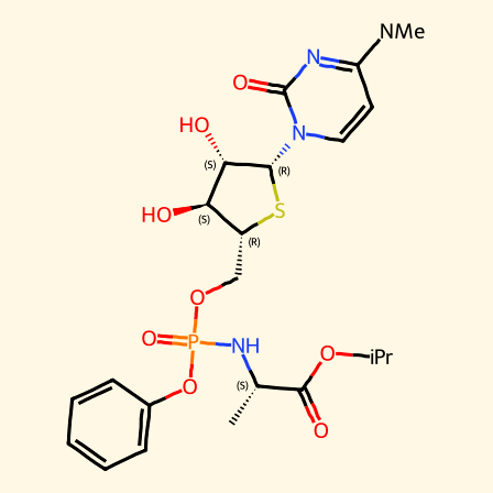 CNc1ccn([C@@H]2S[C@H](COP(=O)(N[C@@H](C)C(=O)OC(C)C)Oc3ccccc3)[C@@H](O)[C@@H]2O)c(=O)n1